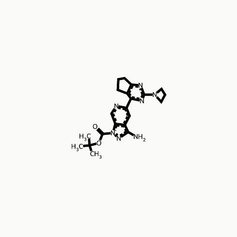 CC(C)(C)OC(=O)n1nc(N)c2cc(-c3nc(N4CCC4)nc4c3CCC4)ncc21